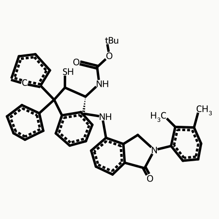 Cc1cccc(N2Cc3c(NC[C@@H](NC(=O)OC(C)(C)C)C(S)C(c4ccccc4)(c4ccccc4)c4ccccc4)cccc3C2=O)c1C